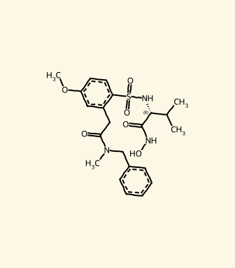 COc1ccc(S(=O)(=O)N[C@@H](C(=O)NO)C(C)C)c(CC(=O)N(C)Cc2ccccc2)c1